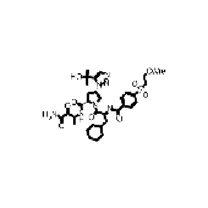 COCCS(=O)(=O)c1ccc(C(=O)/N=C(\CC2CCCCC2)C(=O)N2C[C@@H](n3nncc3C(C)(C)O)C[C@H]2C(=O)NC(C)C(=O)C(N)=O)cc1